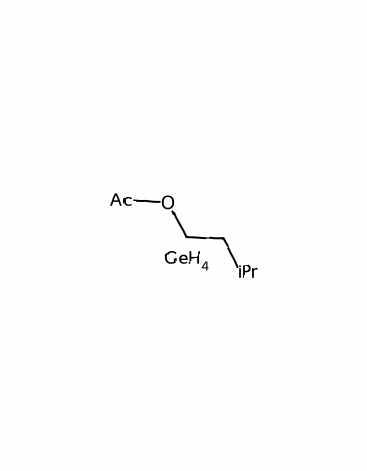 CC(=O)OCCC(C)C.[GeH4]